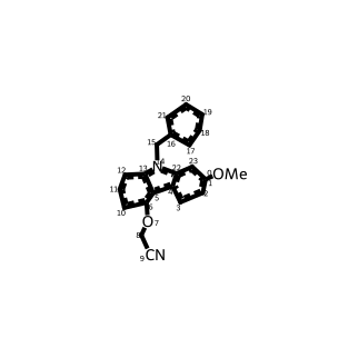 COc1ccc2c3c(OCC#N)cccc3n(Cc3ccccc3)c2c1